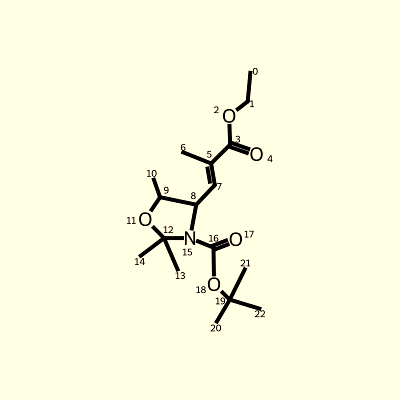 CCOC(=O)C(C)=CC1C(C)OC(C)(C)N1C(=O)OC(C)(C)C